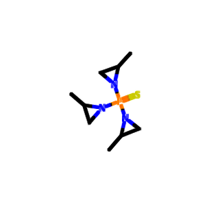 CC1CN1P(=S)(N1CC1C)N1CC1C